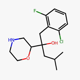 CC(C)CC(O)(Cc1c(F)cccc1Cl)C1CNCCO1